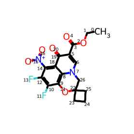 CCOC(=O)c1cn2c3c(c(F)c(F)c([N+](=O)[O-])c3c1=O)OC1(CCC1)C2